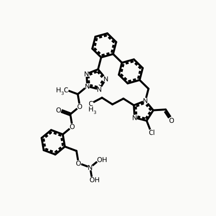 CCCCc1nc(Cl)c(C=O)n1Cc1ccc(-c2ccccc2-c2nnn(C(C)OC(=O)Oc3ccccc3CON(O)O)n2)cc1